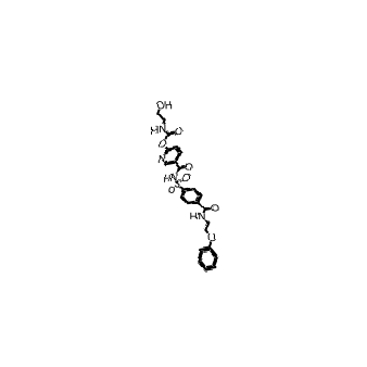 O=C(NCCO)Oc1ccc(C(=O)NS(=O)(=O)c2ccc(C(=O)NCCOc3ccccc3)cc2)cn1